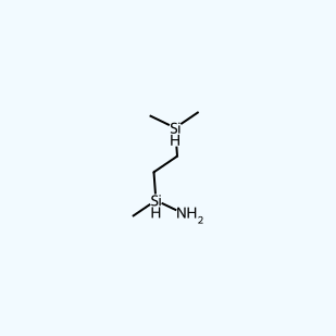 C[SiH](C)CC[SiH](C)N